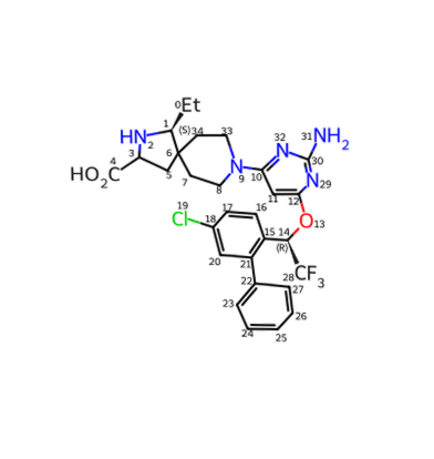 CC[C@@H]1NC(C(=O)O)CC12CCN(c1cc(O[C@H](c3ccc(Cl)cc3-c3ccccc3)C(F)(F)F)nc(N)n1)CC2